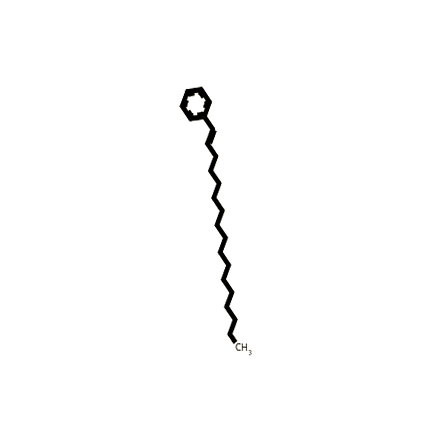 CCCCCCCCCCCCCCC/C=C/c1c[c]ccc1